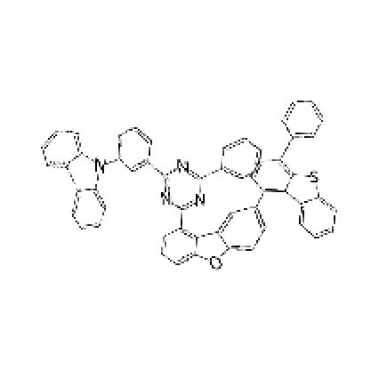 c1ccc(-c2nc(-c3cccc(-n4c5ccccc5c5ccccc54)c3)nc(-c3cccc4oc5ccc(-c6ccc(-c7ccccc7)c7sc8ccccc8c67)cc5c34)n2)cc1